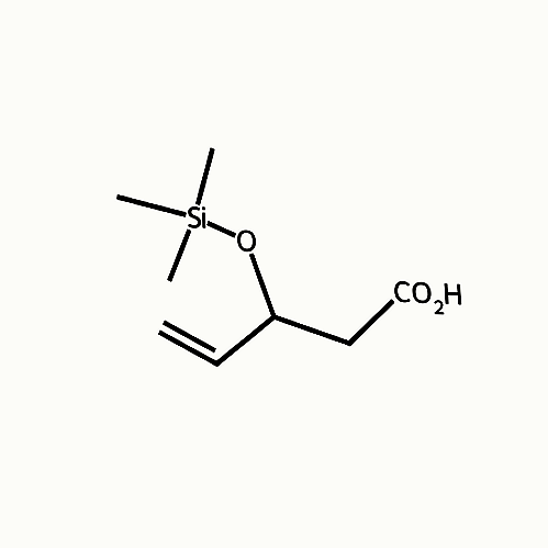 C=CC(CC(=O)O)O[Si](C)(C)C